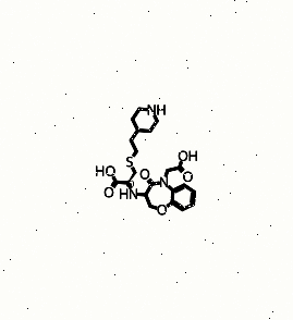 O=C(O)CN1C(=O)C(N[C@H](CSCCC2CCNCC2)C(=O)O)COc2ccccc21